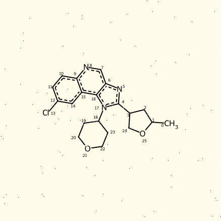 CC1CC(c2nc3cnc4ccc(Cl)cc4c3n2C2CCOCC2)CO1